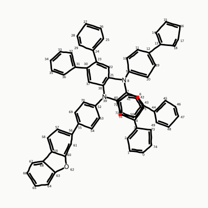 c1ccc(-c2ccc(N(c3ccc(-c4ccccc4)cc3)c3cc(-c4ccccc4)c(-c4ccccc4)cc3N(c3ccc(-c4ccccc4)cc3)c3ccc(-c4ccc5c(c4)oc4ccccc45)cc3)cc2)cc1